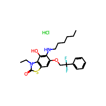 CCCCCCNc1c(OCC(F)(F)c2ccccc2)cc2sc(=O)n(CC)c2c1O.Cl